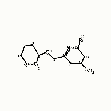 CC1CC(COC2CCCCO2)=CC(Br)C1